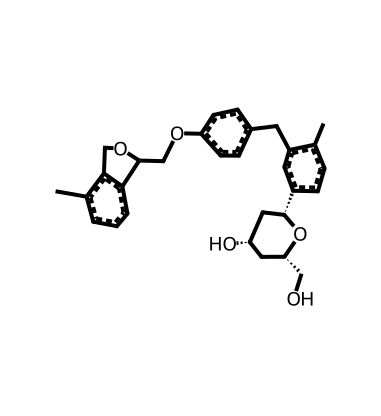 Cc1ccc([C@H]2C[C@@H](O)C[C@@H](CO)O2)cc1Cc1ccc(OCC2OCc3c(C)cccc32)cc1